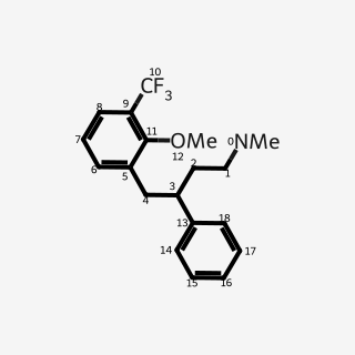 CNCCC(Cc1cccc(C(F)(F)F)c1OC)c1ccccc1